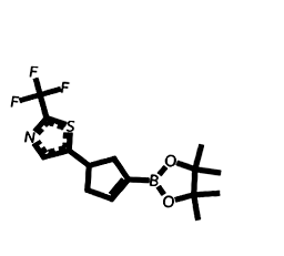 CC1(C)OB(C2=CCC(c3cnc(C(F)(F)F)s3)C2)OC1(C)C